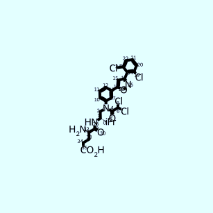 CC(C)[C@@H](CN(C(=O)C(Cl)Cl)c1cccc(-c2cc(-c3c(Cl)cccc3Cl)no2)c1)NC(=O)[C@@H](N)CCC(=O)O